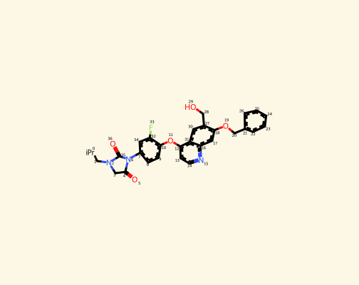 CC(C)CN1CC(=O)N(c2ccc(Oc3ccnc4cc(OCc5ccccc5)c(CO)cc34)c(F)c2)C1=O